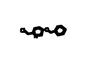 ClCc1ccc(OCc2ccccc2)cn1